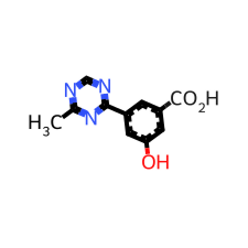 Cc1ncnc(-c2cc(O)cc(C(=O)O)c2)n1